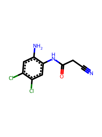 N#CCC(=O)Nc1cc(Cl)c(Cl)cc1N